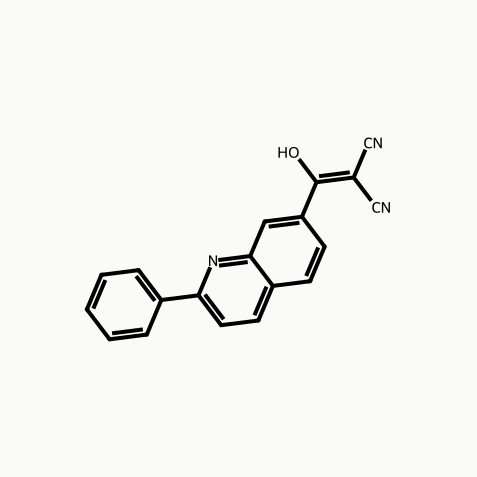 N#CC(C#N)=C(O)c1ccc2ccc(-c3ccccc3)nc2c1